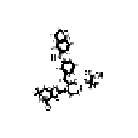 CC1(C)Cc2nc(N3CCOCC3Cc3cccc(Nc4ccc5c(c4)CCO5)c3)sc2C(=O)N1.O=C(O)C(F)(F)F